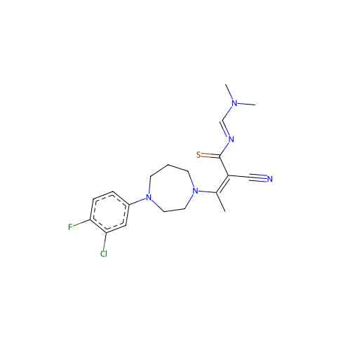 CC(=C(C#N)C(=S)N=CN(C)C)N1CCCN(c2ccc(F)c(Cl)c2)CC1